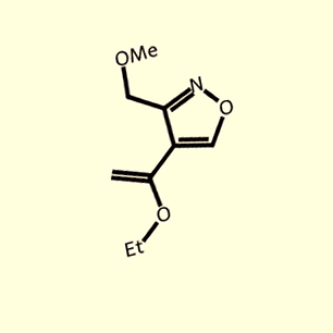 C=C(OCC)c1conc1COC